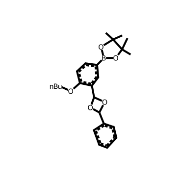 CCCCOc1ccc(B2OC(C)(C)C(C)(C)O2)cc1C1OC(c2ccccc2)O1